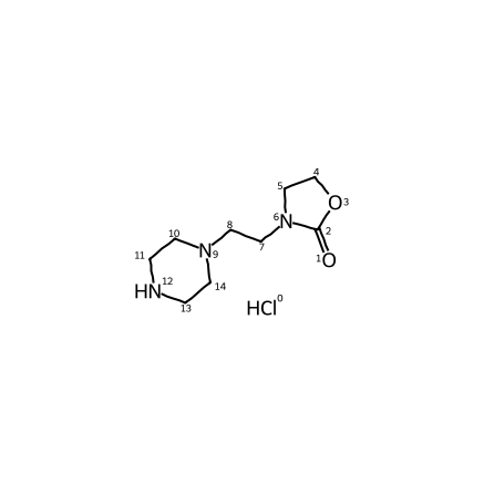 Cl.O=C1OCCN1CCN1CCNCC1